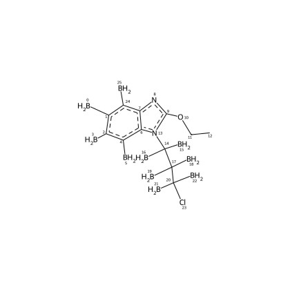 Bc1c(B)c(B)c2c(nc(OCC)n2C(B)(B)C(B)(B)C(B)(B)Cl)c1B